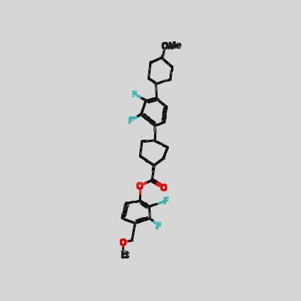 CCOCc1ccc(OC(=O)C2CCC(c3ccc(C4CCC(OC)CC4)c(F)c3F)CC2)c(F)c1F